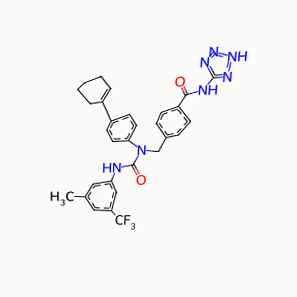 Cc1cc(NC(=O)N(Cc2ccc(C(=O)Nc3nn[nH]n3)cc2)c2ccc(C3=CCCCC3)cc2)cc(C(F)(F)F)c1